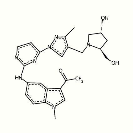 Cc1nn(-c2ccnc(Nc3ccc4c(c3)c(C(=O)C(F)(F)F)cn4C)n2)cc1CN1C[C@H](O)C[C@H]1CO